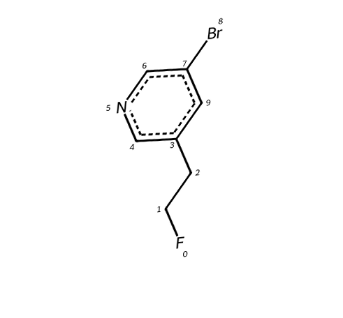 FCCc1cncc(Br)c1